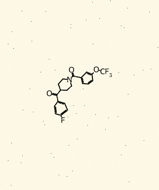 O=C(c1ccc(F)cc1)C1CCN(C(=O)c2cccc(OC(F)(F)F)c2)CC1